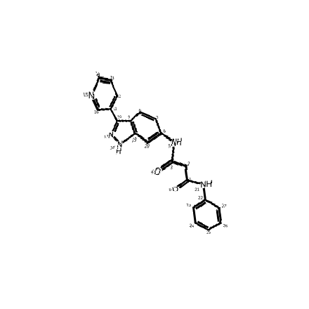 O=C(CC(=O)Nc1ccc2c(-c3cccnc3)n[nH]c2c1)Nc1ccccc1